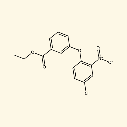 CCOC(=O)c1cccc(Oc2ccc(Cl)cc2[N+](=O)[O-])c1